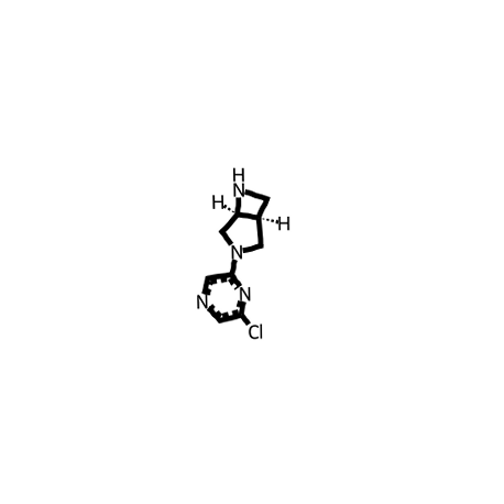 Clc1cncc(N2C[C@@H]3CN[C@@H]3C2)n1